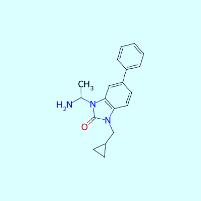 CC(N)n1c(=O)n(CC2CC2)c2ccc(-c3ccccc3)cc21